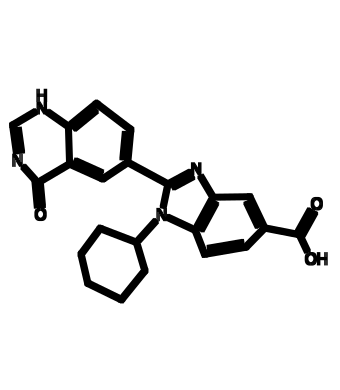 O=C(O)c1ccc2c(c1)nc(-c1ccc3[nH]cnc(=O)c3c1)n2C1CCCCC1